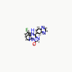 O=C1C=NC(=C(NC23CC4CC(CC(F)(C4)C2)C3)c2ccc3nccnc3c2)N1